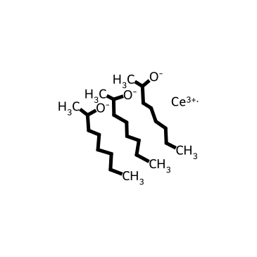 CCCCCCC(C)[O-].CCCCCCC(C)[O-].CCCCCCC(C)[O-].[Ce+3]